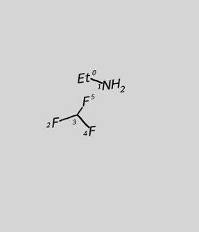 CCN.FC(F)F